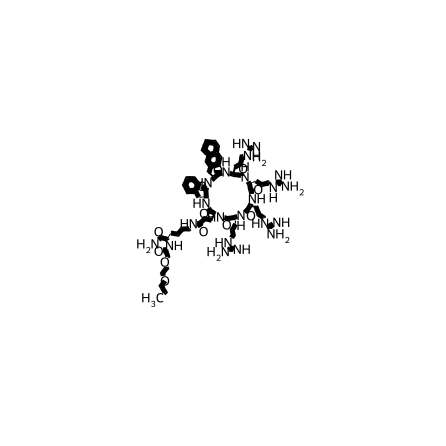 CCCOCCOCC(=O)N[C@@H](CCCCNC(=O)CC[C@@H]1NC(=O)[C@@H](CCCNC(=N)N)NC(=O)[C@H](CCCNC(=N)N)NC(=O)[C@@H](CCCNC(=N)N)NC(=O)[C@H](CCCNC(=N)N)NC(=O)[C@H](Cc2ccc3ccccc3c2)NC(=O)[C@@H](Cc2ccccc2)NC1=O)C(N)=O